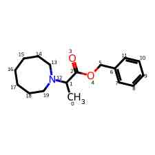 CC(C(=O)OCc1ccccc1)N1CCCCCCC1